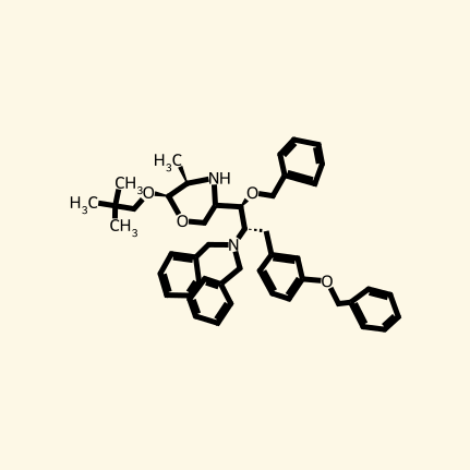 C[C@H]1NC([C@@H](OCc2ccccc2)[C@H](Cc2cccc(OCc3ccccc3)c2)N(Cc2ccccc2)Cc2ccccc2)CO[C@H]1OCC(C)(C)C